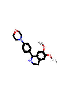 COc1cc2c(cc1OC)C(c1ccc(N3CCOCC3)cc1)NCC2